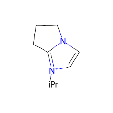 CC(C)[n+]1ccn2c1CCC2